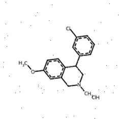 COc1ccc2c(c1)CN(C)CC2c1cccc(Cl)c1.Cl